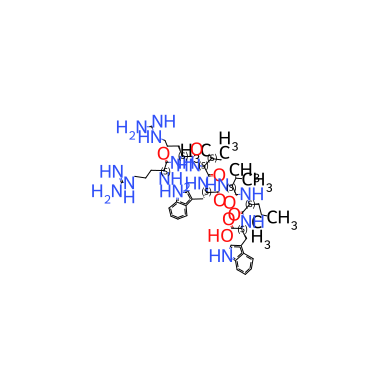 CC[C@H](C)[C@H](NC(=O)[C@H](CCCNC(=N)N)NC(=O)[C@@H](N)CCCNC(=N)N)C(=O)N[C@@H](Cc1c[nH]c2ccccc12)C(=O)N[C@H](C(=O)N[C@@H](CC(C)C)C(=O)N[C@@H](Cc1c[nH]c2ccccc12)C(=O)O)C(C)C